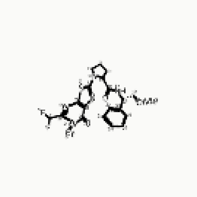 CCn1c(C(F)F)nc2sc(N3CCCC3C(=O)N[C@H](COC)c3ccccc3)nc2c1=O